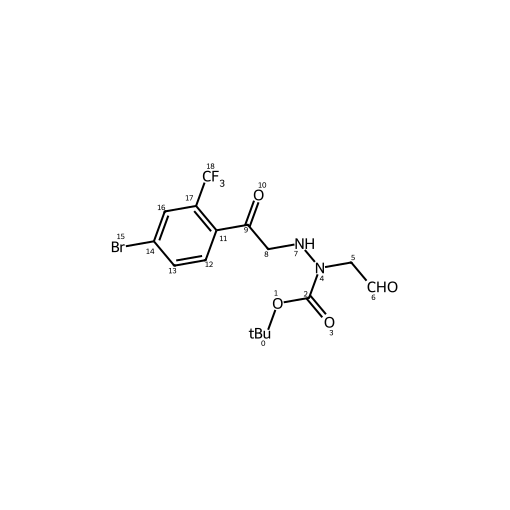 CC(C)(C)OC(=O)N(CC=O)NCC(=O)c1ccc(Br)cc1C(F)(F)F